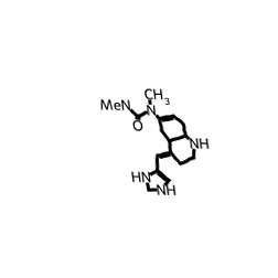 CNC(=O)N(C)C1=CCC2NCC/C(=C\C3=CNCN3)C2C1